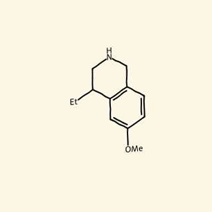 CCC1CNCc2ccc(OC)cc21